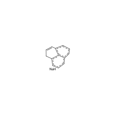 C1=Cc2cccc3cccc(c23)C1.[NaH]